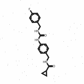 O=C(NCc1ccc(F)cc1)Nc1ccc(CNC(=O)C2CC2)cc1